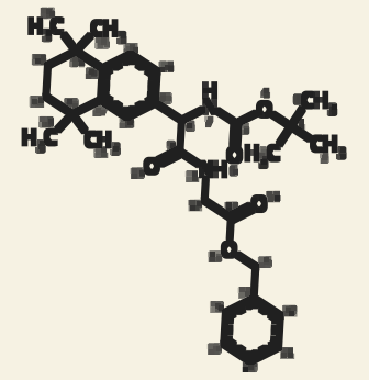 CC(C)(C)OC(=O)NC(C(=O)NCC(=O)OCc1ccccc1)c1ccc2c(c1)C(C)(C)CCC2(C)C